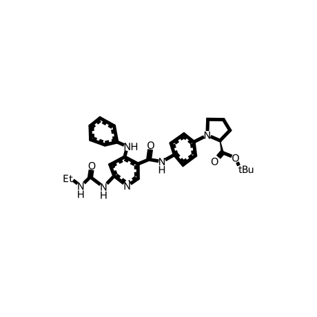 CCNC(=O)Nc1cc(Nc2ccccc2)c(C(=O)Nc2ccc(N3CCC[C@H]3C(=O)OC(C)(C)C)cc2)cn1